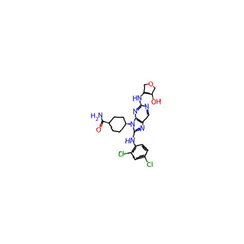 NC(=O)[C@H]1CC[C@@H](n2c(Nc3ccc(Cl)cc3Cl)nc3cnc(NC4COCC4O)nc32)CC1